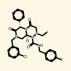 O=C1[C@H](c2ccccc2)N2C(=O)CN(CI)N(C(=O)NCc3ccc(F)cc3)[C@H]2CN1Cc1cccc(Cl)c1